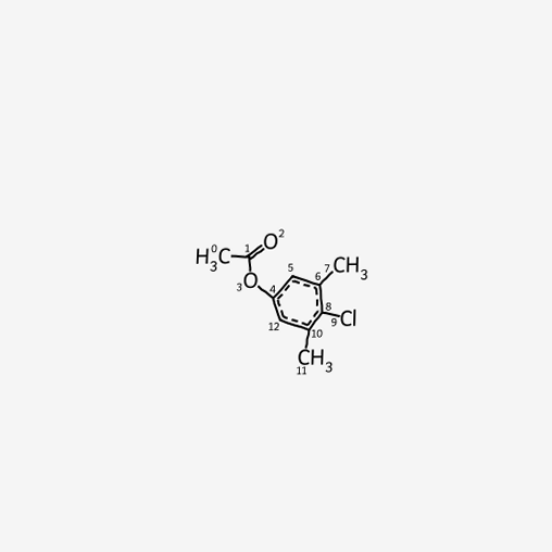 CC(=O)Oc1cc(C)c(Cl)c(C)c1